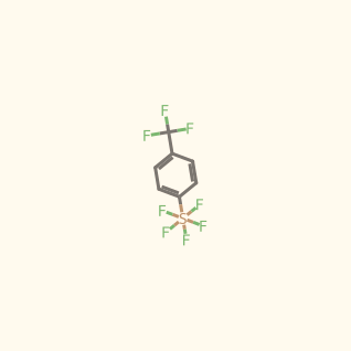 FC(F)(F)c1ccc(S(F)(F)(F)(F)F)cc1